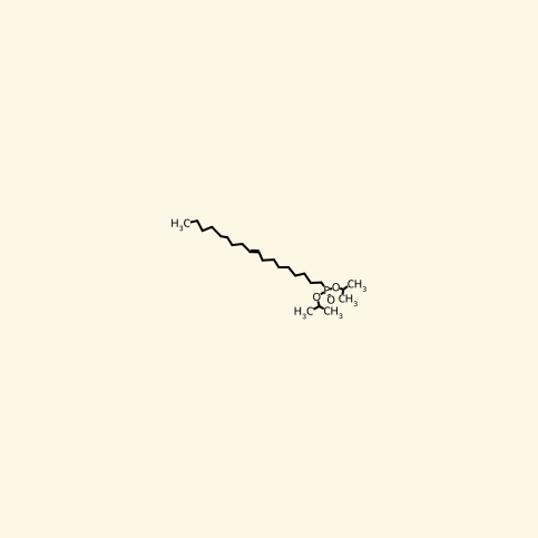 CCCCCCCCC=CCCCCCCCCP(=O)(OC(C)C)OC(C)C